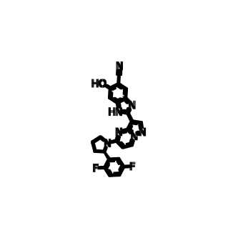 N#Cc1cc2nc(-c3cnn4ccc(N5CCC[C@@H]5c5cc(F)ccc5F)nc34)[nH]c2cc1O